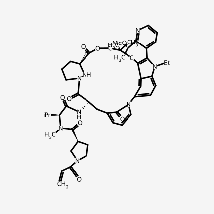 C=CC(=O)N1CC[C@H](C(=O)N(C)[C@H](C(=O)N[C@H]2Cc3cccn(c3=O)-c3ccc4c(c3)c(c(-c3cccnc3[C@H](C)OC)n4CC)CC(C)(C)COC(=O)[C@@H]3CCCN(N3)C2=O)C(C)C)C1